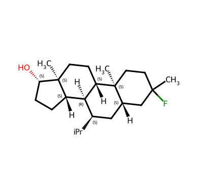 CC(C)[C@@H]1C[C@H]2CC(C)(F)CC[C@]2(C)[C@H]2CC[C@]3(C)[C@@H](O)CC[C@H]3[C@H]12